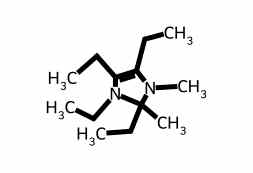 CCC1=C(CC)N(CC)C(C)(CC)N1C